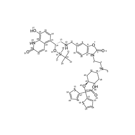 CN(CCn1c(=O)oc2cc(CNC[C@H](O[Si](C)(C)C(C)(C)C)c3ccc(O)c4[nH]c(=O)ccc34)ccc21)[C@H]1CC[C@H](OC(C(=O)O)(c2cccs2)c2cccs2)CC1